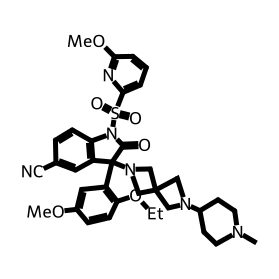 CCOc1ccc(OC)cc1C1(N2CC3(CN(C4CCN(C)CC4)C3)C2)C(=O)N(S(=O)(=O)c2cccc(OC)n2)c2ccc(C#N)cc21